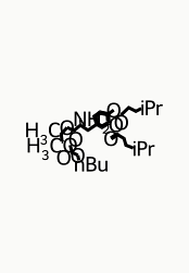 CCCCOC(=O)OC(C)[C@H](C)OC(=O)[C@@H](N)Cc1ccc(OC(=O)CCC(C)C)c(OC(=O)CCC(C)C)c1